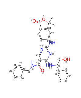 CC1(C)OC(=O)c2ccc(Nc3ncc(C(=O)NCc4ccccc4)c(NC(CO)c4ccccc4)n3)cc21